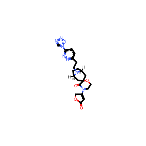 O=C1C=C(N2CCOC3(C[C@H]4CC[C@@H](C3)N4CCc3ccc(-n4cnnn4)nn3)C2=O)CO1